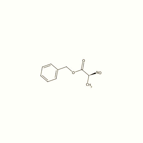 C[C@H](N=O)C(=O)OCc1ccccc1